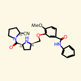 COc1ccc(C(=O)Nc2ccccc2)cc1OC[C@H]1CC[C@@H](C(=O)N2CCC[C@H]2C#N)N1